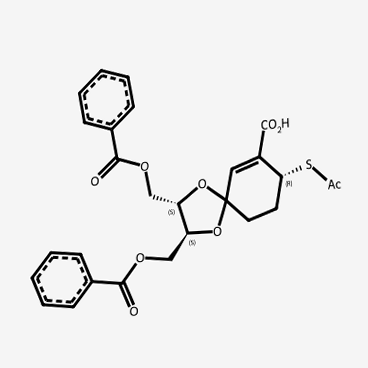 CC(=O)S[C@@H]1CCC2(C=C1C(=O)O)O[C@@H](COC(=O)c1ccccc1)[C@H](COC(=O)c1ccccc1)O2